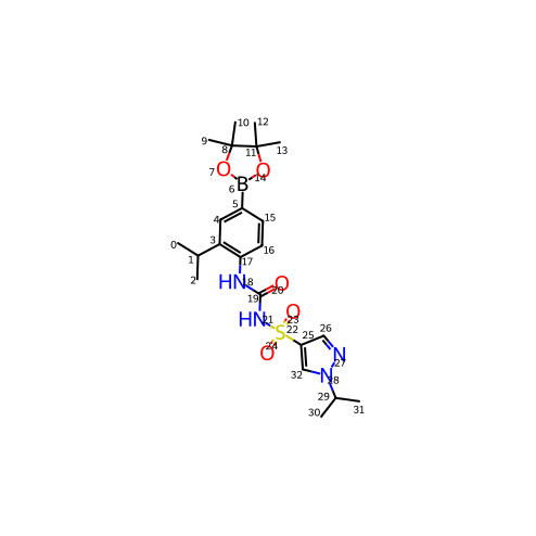 CC(C)c1cc(B2OC(C)(C)C(C)(C)O2)ccc1NC(=O)NS(=O)(=O)c1cnn(C(C)C)c1